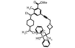 CCN(c1cc(C#CCN2CC(CC(C)(C)[Si](O)(c3ccccc3)c3ccccc3)C2)cc(C(=O)OC)c1C)C1CCC(N(C)C)CC1